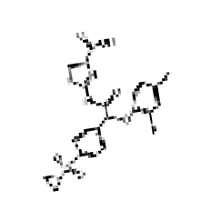 O=C(O)c1csc(NC(=O)C(Oc2ccc(Cl)cc2F)c2ccc(S(=O)(=O)C3CC3)cc2)n1